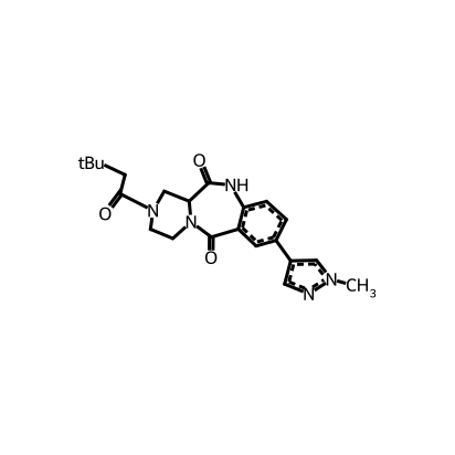 Cn1cc(-c2ccc3c(c2)C(=O)N2CCN(C(=O)CC(C)(C)C)CC2C(=O)N3)cn1